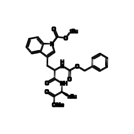 CCCC[C@H](NC(=O)C(Cc1cn(C(=O)OC(C)(C)C)c2ccccc12)NC(=O)OCc1ccccc1)C(=O)OC